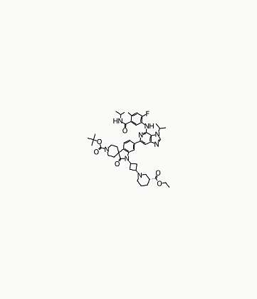 CCOC(=O)[C@@H]1CCCN(C2CC(N3C(=O)C4(CCN(C(=O)OC(C)(C)C)CC4)c4ccc(-c5cc6ncn(C(C)C)c6c(Nc6cc(C(=O)NC(C)C)c(C)cc6F)n5)cc43)C2)C1